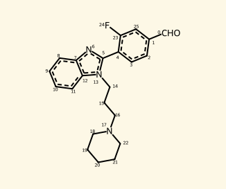 O=Cc1ccc(-c2nc3ccccc3n2CCCN2CCCCC2)c(F)c1